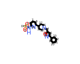 CS(=O)(=O)Nc1cccc(C2CCN(Cc3cc(-c4ccccc4)no3)CC2)n1